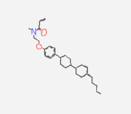 C=CC(=O)N(C)CCOc1ccc(C2CCC(C3CCC(CCCCC)CC3)CC2)cc1